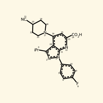 CC(C)c1nn(-c2ccc(F)cc2)c2nc(C(=O)O)cc(N3CCC(C#N)CC3)c12